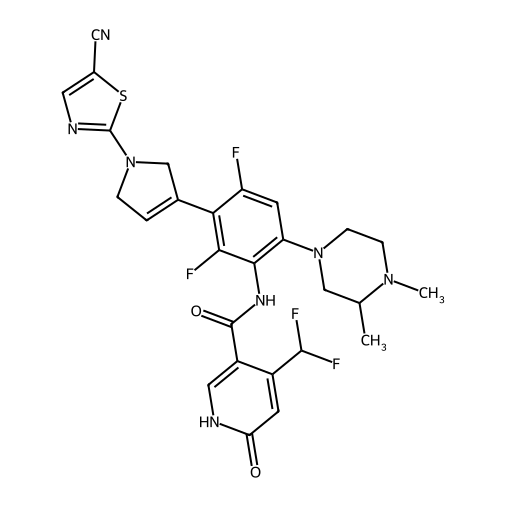 CC1CN(c2cc(F)c(C3=CCN(c4ncc(C#N)s4)C3)c(F)c2NC(=O)c2c[nH]c(=O)cc2C(F)F)CCN1C